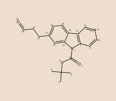 CC(C)(C)OC(=O)n1c2ccncc2c2ccc(CCC=O)cc21